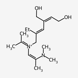 CC/C(=C\C(=C/CO)CO)C[N+](/C=C(/C)N(C)C)=C(C)C